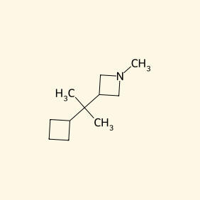 CN1CC(C(C)(C)C2CCC2)C1